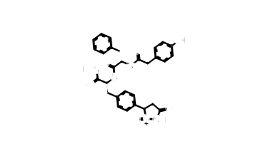 NC(=O)[C@H](Cc1ccc(C2CC(=O)NS2(=O)=O)cc1)NC(=O)[C@H](Cc1ccccc1)NC(=O)Cc1ccc(O)cc1